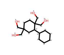 OCC1(CO)CCC(CO)(CO)C(C2CCCCC2)C1